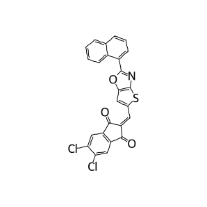 O=C1C(=Cc2cc3oc(-c4cccc5ccccc45)nc3s2)C(=O)c2cc(Cl)c(Cl)cc21